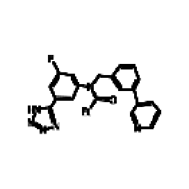 CCC(=O)N(Cc1cccc(-c2cccnc2)c1)c1cc(F)cc(-c2nnn[nH]2)c1